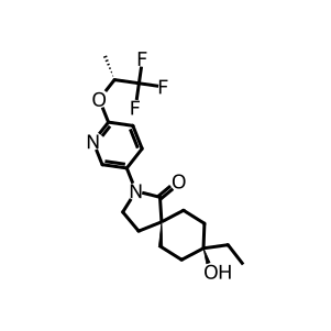 CC[C@]1(O)CC[C@]2(CCN(c3ccc(O[C@H](C)C(F)(F)F)nc3)C2=O)CC1